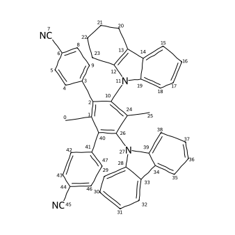 Cc1c(-c2ccc(C#N)cc2)c(-n2c3c(c4ccccc42)CCCC3)c(C)c(-n2c3ccccc3c3ccccc32)c1-c1ccc(C#N)cc1